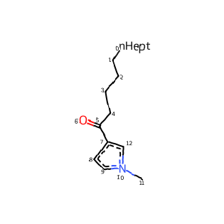 CCCCCCCCCCCC(=O)c1ccn(C)c1